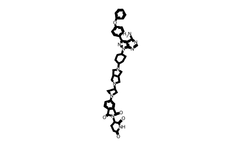 Nc1ncnc2c1c(-c1ccc(Oc3ccccc3)cc1)nn2C1CCC(N2CC3CN(C4CN(c5ccc6c(c5)C(=O)N(C5CCC(=O)NC5=O)C6=O)C4)CC3C2)CC1